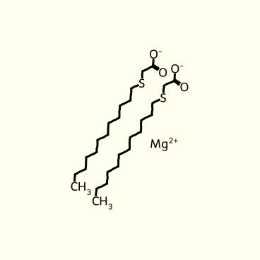 CCCCCCCCCCCCSCC(=O)[O-].CCCCCCCCCCCCSCC(=O)[O-].[Mg+2]